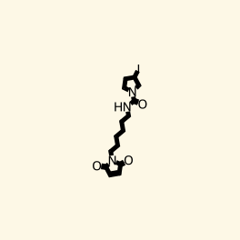 O=C(NCCCCCCN1C(=O)C=CC1=O)N1CCC(I)C1